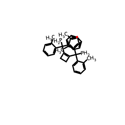 Cc1ccccc1C(P)(C1=C(C(P)(c2ccccc2C)c2ccccc2C)CC1)c1ccccc1C